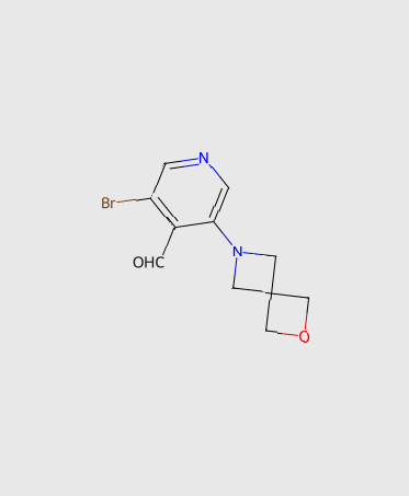 O=Cc1c(Br)cncc1N1CC2(COC2)C1